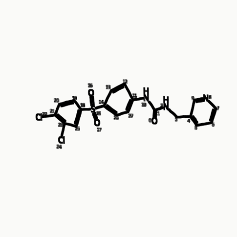 O=C(NCc1cccnc1)Nc1ccc(S(=O)(=O)c2ccc(Cl)c(Cl)c2)cc1